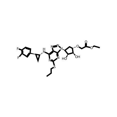 CCCSc1nc(N[C@@H]2C[C@H]2c2ccc(F)c(F)c2)c2nnn([C@@H]3C[C@H](OCC(=O)OCC)[C@@H](O)[C@H]3O)c2n1